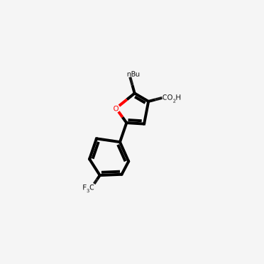 CCCCc1oc(-c2ccc(C(F)(F)F)cc2)cc1C(=O)O